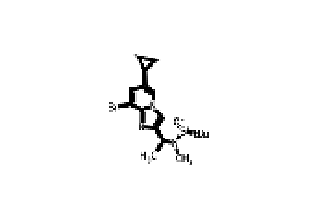 CC(c1cn2cc(C3CC3)cc(Br)c2n1)N(C)[S+]([O-])C(C)(C)C